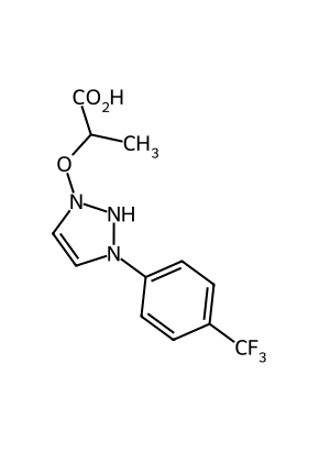 CC(ON1C=CN(c2ccc(C(F)(F)F)cc2)N1)C(=O)O